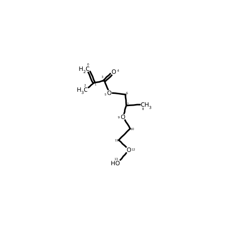 C=C(C)C(=O)OCC(C)OCCOO